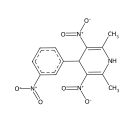 CC1=C([N+](=O)[O-])C(c2cccc([N+](=O)[O-])c2)C([N+](=O)[O-])=C(C)N1